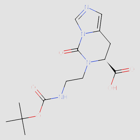 CC(C)(C)OC(=O)NCCN1C(=O)n2cncc2C[C@H]1C(=O)O